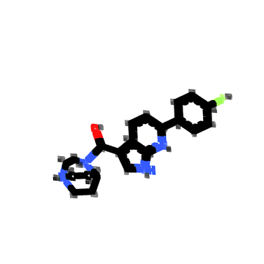 O=C(c1c[nH]c2nc(-c3ccc(F)cc3)ccc12)N1CCN2CCC1CC2